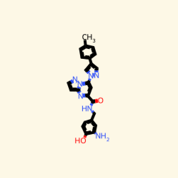 Cc1ccc(-c2cnn(-c3cc(C(=O)NCc4ccc(O)c(N)c4)nc4ccnn34)c2)cc1